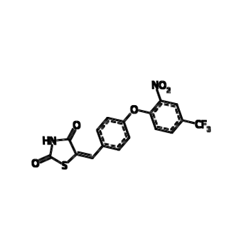 O=C1NC(=O)/C(=C\c2ccc(Oc3ccc(C(F)(F)F)cc3[N+](=O)[O-])cc2)S1